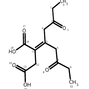 CCC(=O)CC(CC(=O)CC)=C(CC(=O)O)C(=O)O